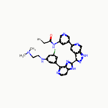 CC(C)CC(=O)Nc1cncc(-c2cc3c(-c4nc5c(-c6cc(F)cc(NCCN(C)C)c6)nccc5[nH]4)n[nH]c3cn2)c1